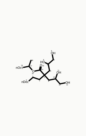 CCCCCCCCCCCCC(CC(O)CO)(CC(O)CO)C(=O)OC(C)CCCCCCCC